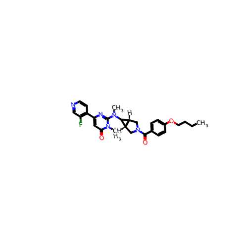 CCCCOc1ccc(C(=O)N2C[C@@H]3C(N(C)c4nc(-c5ccncc5F)cc(=O)n4C)[C@@H]3C2)cc1